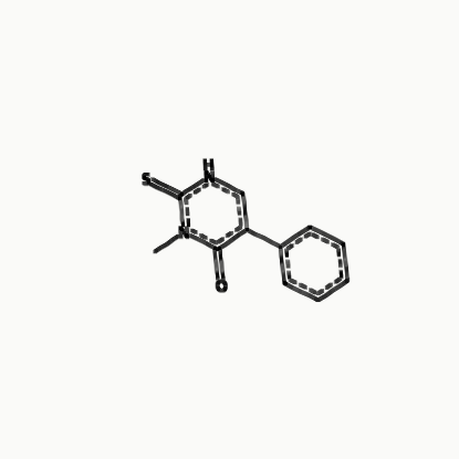 Cn1c(=S)[nH]cc(-c2ccccc2)c1=O